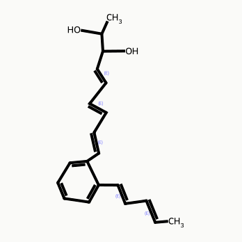 C/C=C/C=C/c1ccccc1/C=C/C=C/C=C/C(O)C(C)O